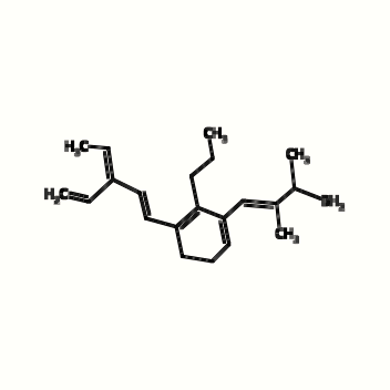 BC(C)/C(C)=C/C1=CCCC(C=C/C(C=C)=C/C)=C1CCC